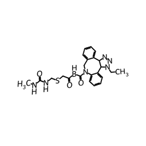 CCN1N=NC2c3ccccc3CN(C(=O)BC(=O)CSCNC(=O)NC)c3ccccc3C21